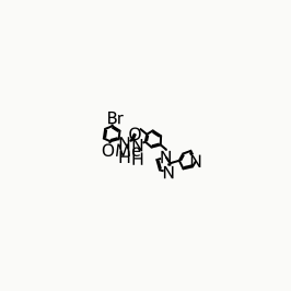 COc1ccc(Br)cc1NC(=O)Nc1cc(Cn2ccnc2-c2ccncc2)ccc1C